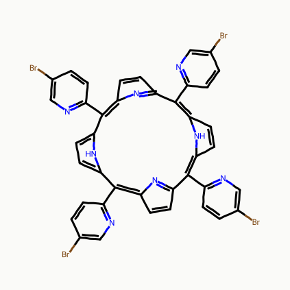 Brc1ccc(-c2c3nc(c(-c4ccc(Br)cn4)c4ccc([nH]4)c(-c4ccc(Br)cn4)c4nc(c(-c5ccc(Br)cn5)c5ccc2[nH]5)C=C4)C=C3)nc1